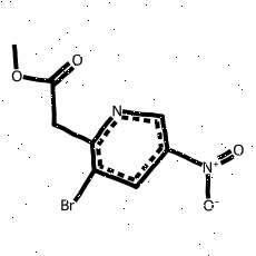 COC(=O)Cc1ncc([N+](=O)[O-])cc1Br